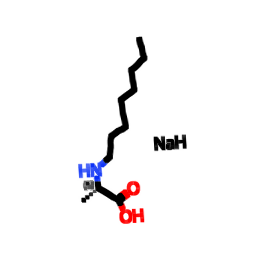 CCCCCCCCN[C@@H](C)C(=O)O.[NaH]